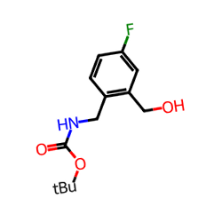 CC(C)(C)OC(=O)NCc1ccc(F)cc1CO